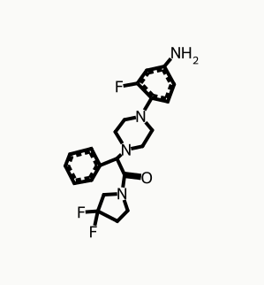 Nc1ccc(N2CCN(C(C(=O)N3CCC(F)(F)C3)c3ccccc3)CC2)c(F)c1